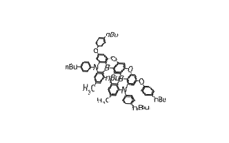 CCCCc1ccc(Oc2cc3c4c(c2)N(c2ccc(CCCC)cc2)c2cc(C)cc(I)c2B4c2cc4c(cc2O3)Oc2cc(Oc3ccc(CCCC)cc3)cc3c2B4c2c(CCCC)cc(C)cc2N3c2ccc(CCCC)cc2)cc1